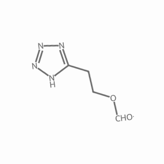 O=[C]OCCc1nnn[nH]1